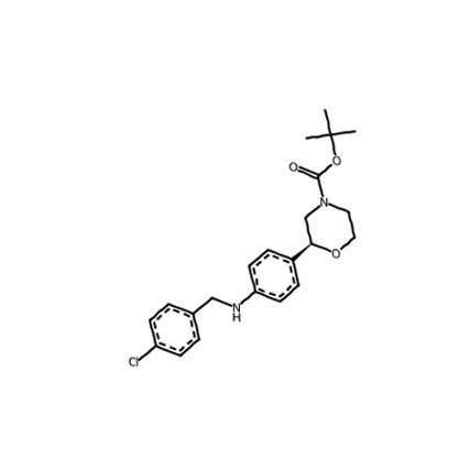 CC(C)(C)OC(=O)N1CCO[C@@H](c2ccc(NCc3ccc(Cl)cc3)cc2)C1